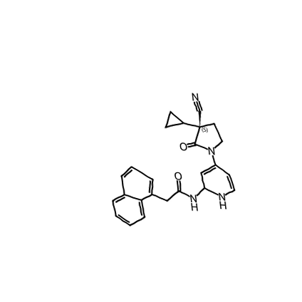 N#C[C@@]1(C2CC2)CCN(C2=CC(NC(=O)Cc3cccc4ccccc34)NC=C2)C1=O